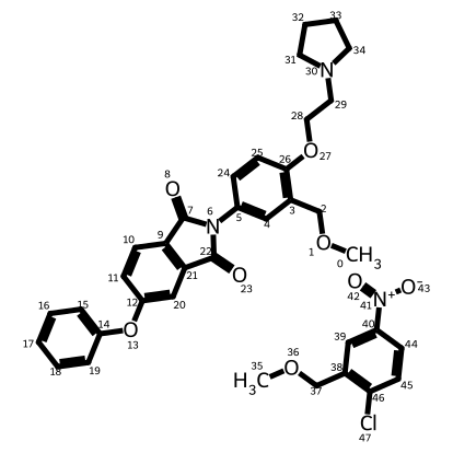 COCc1cc(N2C(=O)c3ccc(Oc4ccccc4)cc3C2=O)ccc1OCCN1CCCC1.COCc1cc([N+](=O)[O-])ccc1Cl